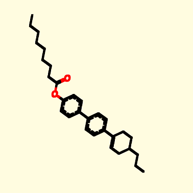 CCCCCCCCC(=O)Oc1ccc(-c2ccc(C3=CCC(CCC)CC3)cc2)cc1